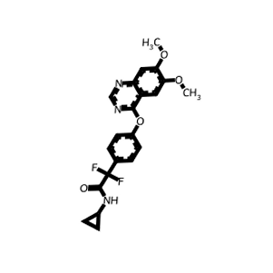 COc1cc2ncnc(Oc3ccc(C(F)(F)C(=O)NC4CC4)cc3)c2cc1OC